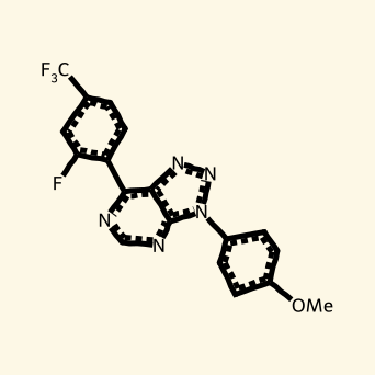 COc1ccc(-n2nnc3c(-c4ccc(C(F)(F)F)cc4F)ncnc32)cc1